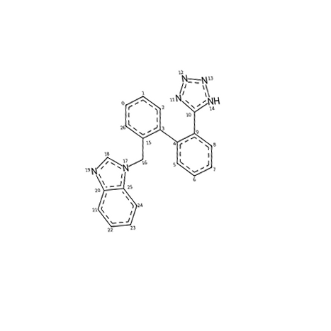 c1ccc(-c2ccccc2-c2nnn[nH]2)c(Cn2cnc3ccccc32)c1